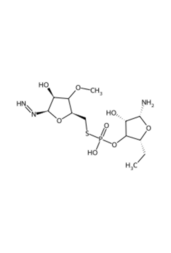 CC[C@H]1O[C@@H](N)[C@@H](O)C1OP(=O)(O)SC[C@H]1O[C@@H](N=N)[C@@H](O)C1OC